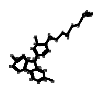 COCCOCCOc1ccc(C2c3cc(C)ccc3-c3ccc(C)cc32)cc1C